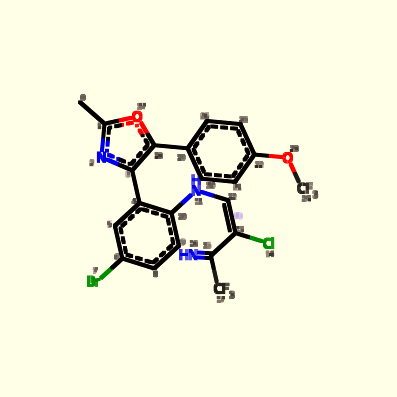 Cc1nc(-c2cc(Br)ccc2N/C=C(/Cl)C(=N)C(F)(F)F)c(-c2ccc(OC(F)(F)F)cc2)o1